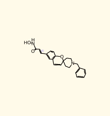 O=C(/C=C/c1ccc2c(c1)C=CC1(CCN(Cc3ccccc3)CC1)O2)NO